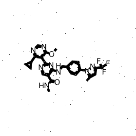 CNC(=O)c1cnc(-c2c(OC)ncnc2C2CC2)nc1NCc1ccc(-n2nc(C(F)(F)F)cc2C)cc1